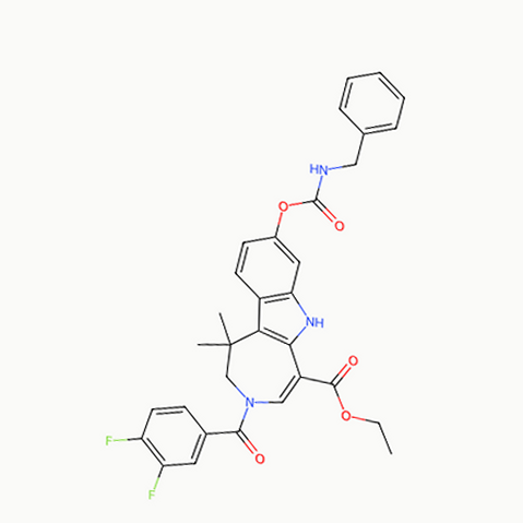 CCOC(=O)C1=CN(C(=O)c2ccc(F)c(F)c2)CC(C)(C)c2c1[nH]c1cc(OC(=O)NCc3ccccc3)ccc21